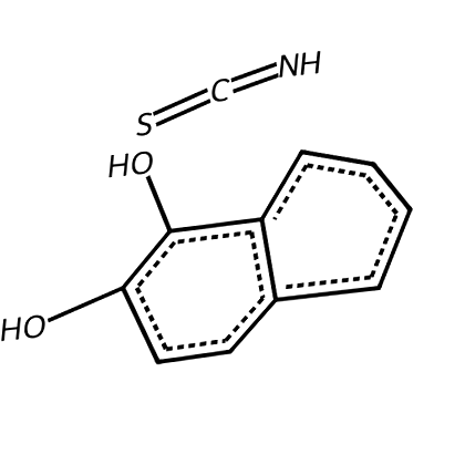 N=C=S.Oc1ccc2ccccc2c1O